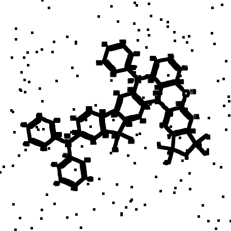 CC1(C)CC(C)(C)c2cc3c(cc21)Oc1cccc2c1B3c1cc3c(cc1N2c1ccccc1)-c1ccc(N(c2ccccc2)c2ccccc2)cc1C3(C)C